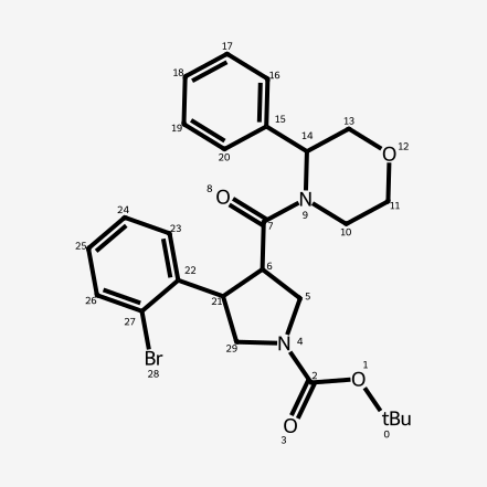 CC(C)(C)OC(=O)N1CC(C(=O)N2CCOCC2c2ccccc2)C(c2ccccc2Br)C1